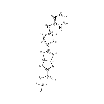 CC(C)(C)OC(=O)N1CC2C=C(c3ccc(Oc4ncccn4)cc3)CC2C1